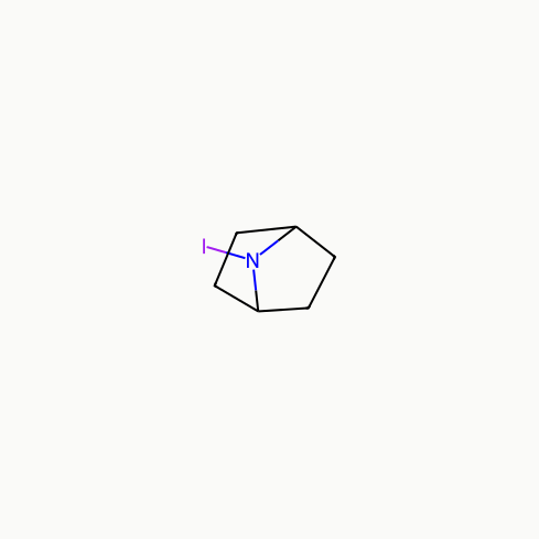 IN1C2CCC1CC2